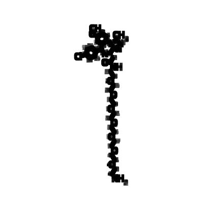 COc1ccc2c(c1)C(c1ccc(Cl)cc1)=N[C@@H](CC(=O)NCCOCCOCCOCCOCCOCCOCCOCCN)c1nnc(C)n1-2